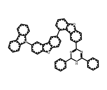 c1ccc(C2=NC(c3ccc4oc5cccc(-c6ccc7oc8ccc(-n9c%10ccccc%10c%10ccccc%109)cc8c7c6)c5c4c3)=NC(c3ccccc3)N2)cc1